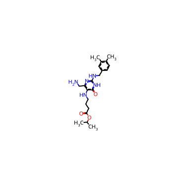 Cc1ccc(CNc2nc(CN)c(NCCCC(=O)OC(C)C)c(=O)[nH]2)cc1C